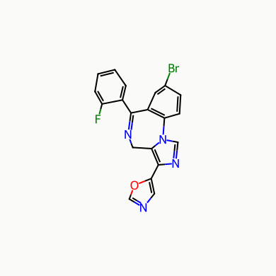 Fc1ccccc1C1=NCc2c(-c3cnco3)ncn2-c2ccc(Br)cc21